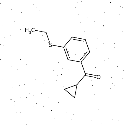 CCSc1cccc(C(=O)C2CC2)c1